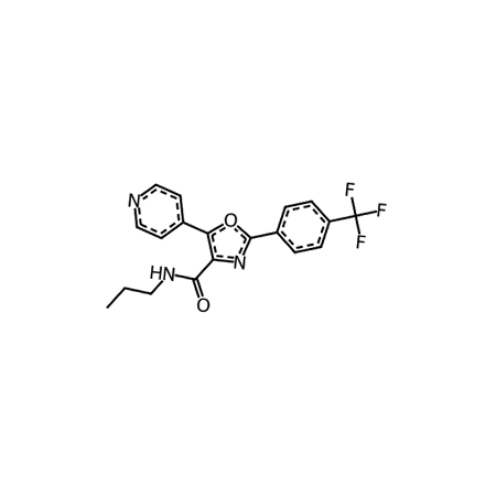 CCCNC(=O)c1nc(-c2ccc(C(F)(F)F)cc2)oc1-c1ccncc1